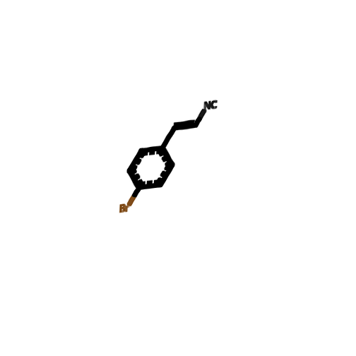 [C-]#[N+]/C=C/c1ccc(Br)cc1